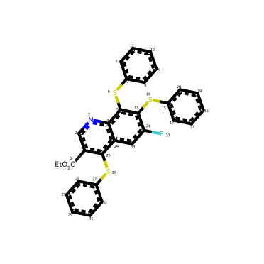 CCOC(=O)c1cnc2c(Sc3ccccc3)c(Sc3ccccc3)c(F)cc2c1Sc1ccccc1